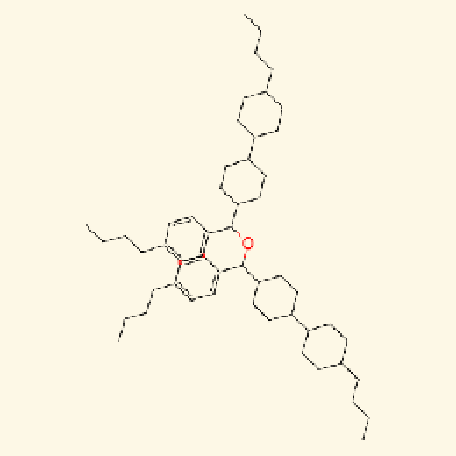 CCCCc1ccc(C(OC(c2ccc(CCCC)cc2)C2CCC(C3CCC(CCCC)CC3)CC2)C2CCC(C3CCC(CCCC)CC3)CC2)cc1